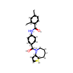 Cc1ccc(C(=O)Nc2ccc(C(=O)N3CCCCc4sccc43)cc2)c(C)c1